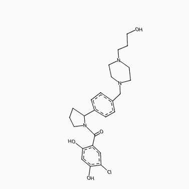 O=C(c1cc(Cl)c(O)cc1O)N1CCCC1c1ccc(CN2CCN(CCCO)CC2)cc1